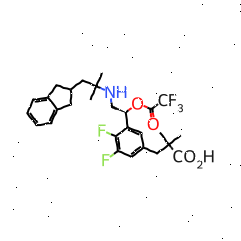 CC(C)(CC1Cc2ccccc2C1)NC[C@@H](OC(=O)C(F)(F)F)c1cc(CC(C)(C)C(=O)O)cc(F)c1F